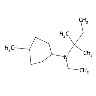 CCN(C1CCC(C)CC1)C(C)(C)CC